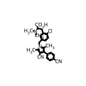 Cc1c(C#N)c(-c2ccc(C#N)cc2)c(C)n1Cc1ccc(Cl)c(CC(C(=O)O)N(C)C)c1